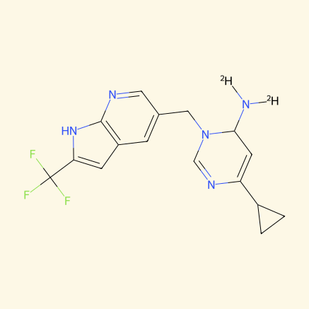 [2H]N([2H])C1C=C(C2CC2)N=CN1Cc1cnc2[nH]c(C(F)(F)F)cc2c1